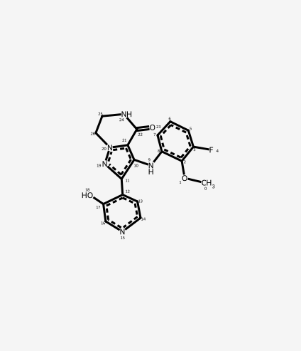 COc1c(F)cccc1Nc1c(-c2ccncc2O)nn2c1C(=O)NCC2